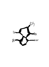 Cc1cc(Br)c2c(Br)ccc(Br)c2c1Br